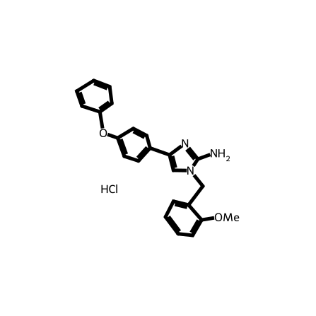 COc1ccccc1Cn1cc(-c2ccc(Oc3ccccc3)cc2)nc1N.Cl